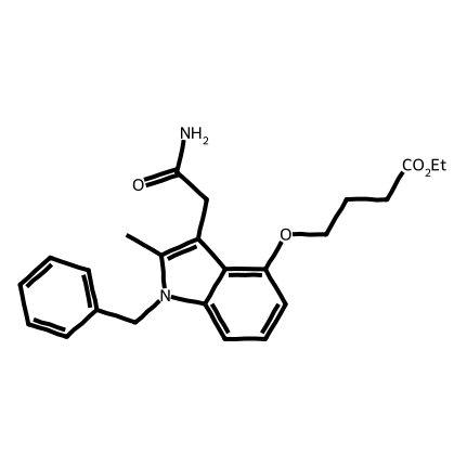 CCOC(=O)CCCOc1cccc2c1c(CC(N)=O)c(C)n2Cc1ccccc1